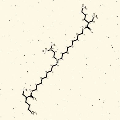 CCCCC(CC)C(=O)OCCCCCCCCCN(CCCCCCCCCOC(=O)C(CC)CCCC)CCN(C)C